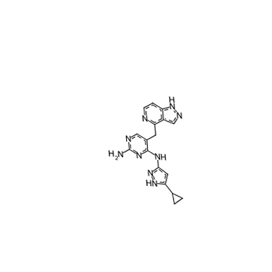 Nc1ncc(Cc2nccc3[nH]ncc23)c(Nc2cc(C3CC3)[nH]n2)n1